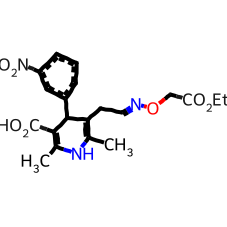 CCOC(=O)CON=CCC1=C(C)NC(C)=C(C(=O)O)C1c1cccc([N+](=O)[O-])c1